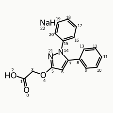 O=C(O)COc1cc(-c2ccccc2)n(-c2ccccc2)n1.[NaH]